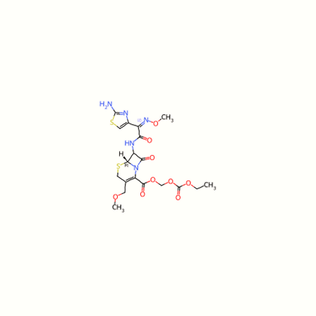 CCOC(=O)OCOC(=O)C1=C(COC)CS[C@@H]2C(NC(=O)/C(=N\OC)c3csc(N)n3)C(=O)N12